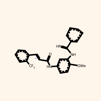 COc1ccc(NC(=O)/C=C/c2ccccc2C(F)(F)F)cc1NC(=N)c1ccccc1